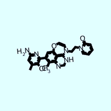 Cc1cc(N)nc(-c2cc3c4c(c2Cl)=NCNC=4N(CCn2ccccc2=O)C=CO3)c1C(F)(F)F